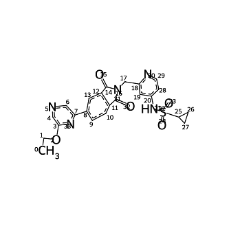 CCOc1cncc(-c2ccc3c(c2)C(=O)N(Cc2cc(NS(=O)(=O)C4CC4)ccn2)C3=O)n1